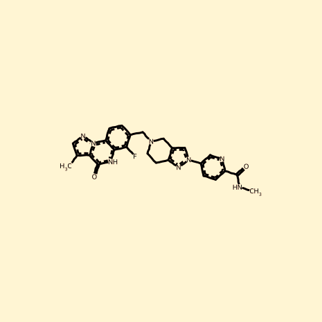 CNC(=O)c1ccc(-n2cc3c(n2)CCN(Cc2ccc4c([nH]c(=O)c5c(C)cnn54)c2F)C3)cn1